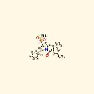 Cc1cc(C)cc(C(=O)N2CC[C@@H](OS(C)(=O)=O)C[C@H]2Cc2ccccc2)c1